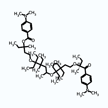 CCC(C)(CCOC(CC)(CC)C(C)(CC)CC(C)OC(CC)(CC)C(CC)(CC)CCO[C@@](C)(CC)C(=O)c1ccc(N(C)C)cc1)OC(=O)c1ccc(N(C)C)cc1